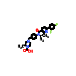 Cc1nc(-c2ccc(F)cc2F)ccc1C(=O)N(C)c1ccc(CN2CCN(C(=O)O)[C@@H](C)C2)cc1